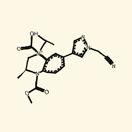 COC(=O)N1c2ccc(-c3cnn(CC#N)c3)cc2[N+](C(=O)O)(C(C)C)C[C@@H]1C